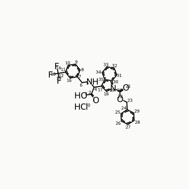 Cl.O=C(O)C(NCc1cccc(C(F)(F)F)c1)c1cn(C(=O)OCc2ccccc2)c2ccccc12